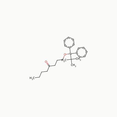 CCCCC(=O)CCCO[Si](c1ccccc1)(c1ccccc1)C(C)(C)C